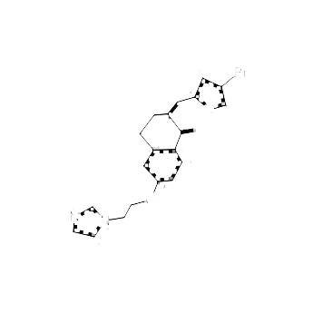 O=C1/C(=C\c2cc(Br)cs2)CCc2cc(OCCn3ccnc3)ccc21